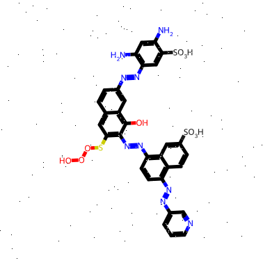 Nc1cc(N)c(S(=O)(=O)O)cc1N=Nc1ccc2cc(SOOO)c(N=Nc3ccc(N=Nc4cccnc4)c4ccc(S(=O)(=O)O)cc34)c(O)c2c1